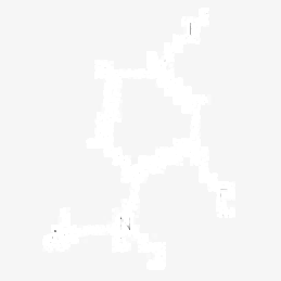 CC(=O)N(C)c1ccc(F)[c]c1F